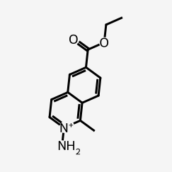 CCOC(=O)c1ccc2c(C)[n+](N)ccc2c1